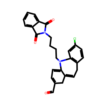 O=CC1=CC=C2C(=CCc3ccc(Cl)cc3N2CCCCN2C(=O)c3ccccc3C2=O)C1